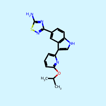 CC(C)Oc1cccc(-c2c[nH]c3ccc(-c4nsc(N)n4)cc23)n1